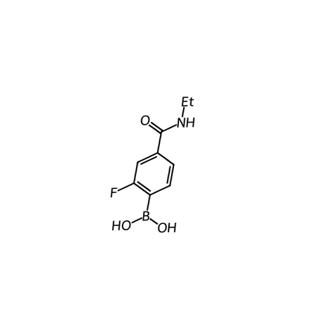 CCNC(=O)c1ccc(B(O)O)c(F)c1